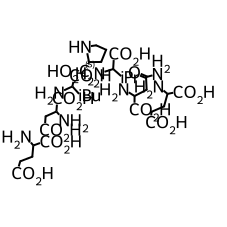 CC(C)C(N)C(=O)O.CCC(C)C(N)C(=O)O.NC(=O)CC(N)C(=O)O.NC(CC(=O)O)C(=O)O.NC(CCC(=O)O)C(=O)O.NC(CCC(=O)O)C(=O)O.O=C(O)[C@@H]1CCCN1